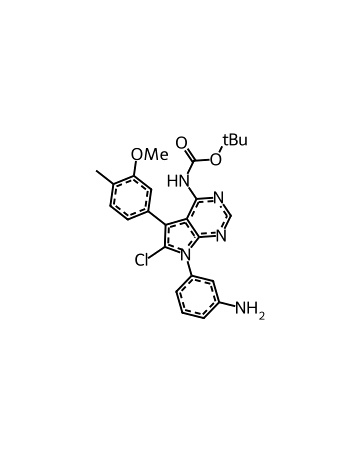 COc1cc(-c2c(Cl)n(-c3cccc(N)c3)c3ncnc(NC(=O)OC(C)(C)C)c23)ccc1C